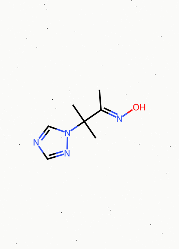 CC(=NO)C(C)(C)n1cncn1